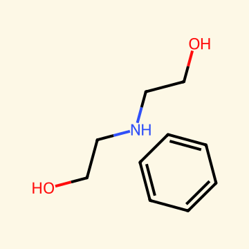 OCCNCCO.c1ccccc1